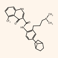 CN(C)CCCc1cc(N2C3CCC2CC3)ccc1NC(=O)c1c[nH]c2cccc(C(F)(F)F)c2c1=O